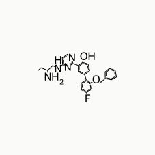 CCC(N)CNc1ccnc(-c2cc(-c3ccc(F)cc3OCc3ccccc3)ccc2O)n1